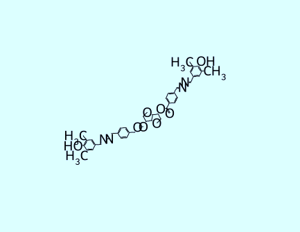 Cc1cc(/C=N/N=C/c2ccc(COO[C@@H]3COC4C(OC(=O)c5ccc(/C=N/N=C/c6cc(C)c(O)c(C)c6)cc5)COC43)cc2)cc(C)c1O